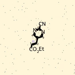 CCOC(=O)/C=C/c1cnc(C#N)nc1